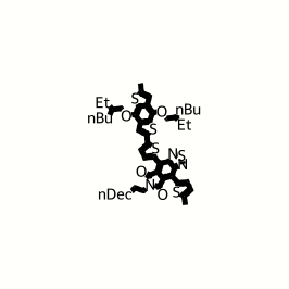 CCCCCCCCCCCCN1C(=O)c2c(c(-c3ccc(-c4cc5c(OCC(CC)CCCC)c6sc(C)cc6c(OCC(CC)CCCC)c5s4)s3)c3nsnc3c2-c2ccc(C)s2)C1=O